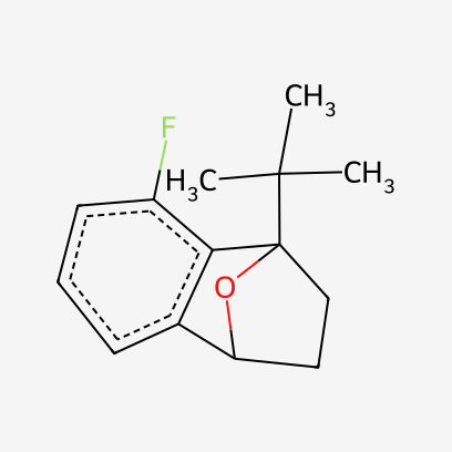 CC(C)(C)C12CCC(O1)c1cccc(F)c12